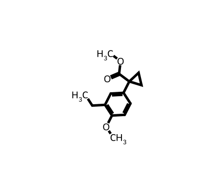 CCc1cc(C2(C(=O)OC)CC2)ccc1OC